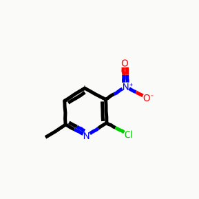 Cc1c[c]c([N+](=O)[O-])c(Cl)n1